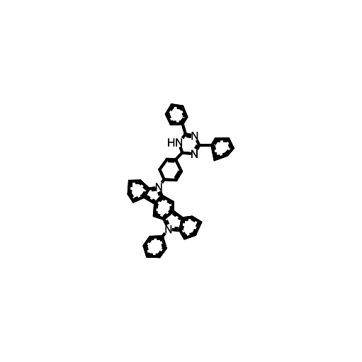 C1=CC(n2c3ccccc3c3cc4c(cc32)c2ccccc2n4-c2ccccc2)CC=C1C1N=C(c2ccccc2)N=C(c2ccccc2)N1